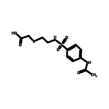 CC(=O)Nc1ccc(S(=O)(=O)NCCSCC(=O)O)cc1